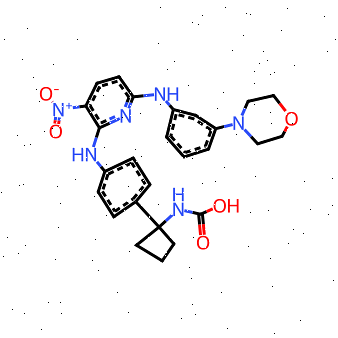 O=C(O)NC1(c2ccc(Nc3nc(Nc4cccc(N5CCOCC5)c4)ccc3[N+](=O)[O-])cc2)CCC1